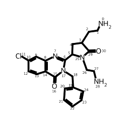 NCCC1CC(c2nc3cc(Cl)ccc3c(=O)n2Cc2ccccc2)N(CCN)C1=O